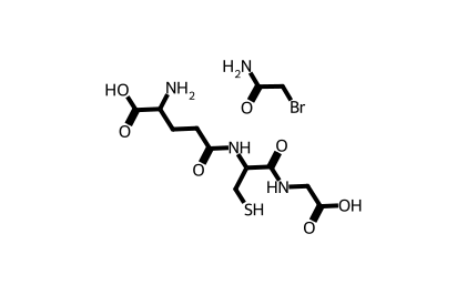 NC(=O)CBr.NC(CCC(=O)NC(CS)C(=O)NCC(=O)O)C(=O)O